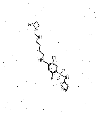 O=S(=O)(Nc1ncns1)c1cc(Cl)c(NCCCCNC[C@H]2CCN2)cc1F